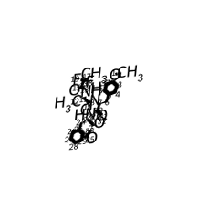 COc1ccc(C[C@H](NC(=O)[C@H](C)NC(=O)C(C)(F)F)C(=O)N[C@@H](Cc2ccccc2)C(=O)[C@H]2CO2)cc1